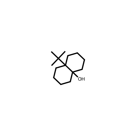 CC(C)(C)C12CCCCC1(O)CCCC2